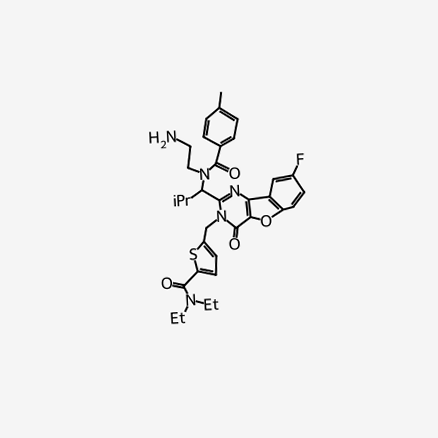 CCN(CC)C(=O)c1ccc(Cn2c(C(C(C)C)N(CCN)C(=O)c3ccc(C)cc3)nc3c(oc4ccc(F)cc43)c2=O)s1